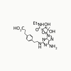 CCNC(=O)[C@H]1O[C@@H](n2cnc3c(N)nc(NCCc4ccc(CCC(=O)O)cc4)nc32)C(C)(O)[C@H]1O